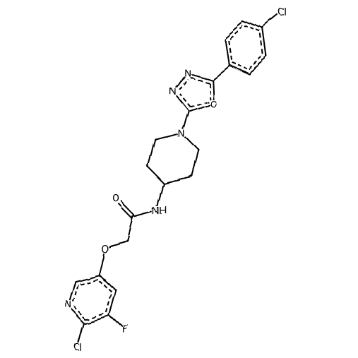 O=C(COc1cnc(Cl)c(F)c1)NC1CCN(c2nnc(-c3ccc(Cl)cc3)o2)CC1